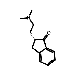 CN(C)CC[C@H]1Cc2ccccc2C1=O